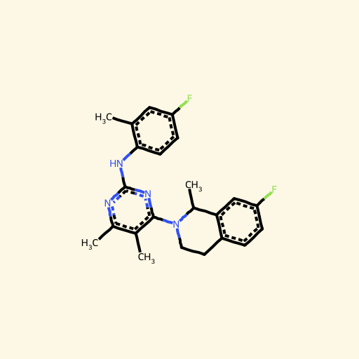 Cc1cc(F)ccc1Nc1nc(C)c(C)c(N2CCc3ccc(F)cc3C2C)n1